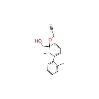 C#CCOC1(CO)C=CC=C(c2ccccc2C)C1C